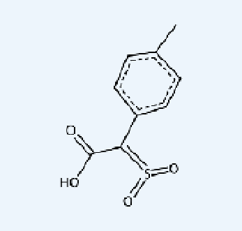 Cc1ccc(C(C(=O)O)=S(=O)=O)cc1